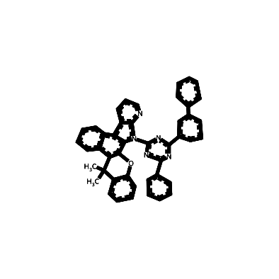 CC1(C)c2ccccc2Oc2c1c1ccccc1c1c3cccnc3n(-c3nc(-c4ccccc4)nc(-c4cccc(-c5ccccc5)c4)n3)c21